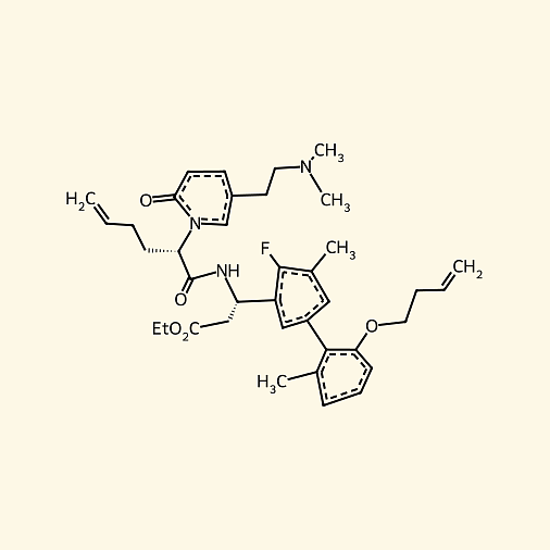 C=CCCOc1cccc(C)c1-c1cc(C)c(F)c([C@H](CC(=O)OCC)NC(=O)[C@H](CCC=C)n2cc(CCN(C)C)ccc2=O)c1